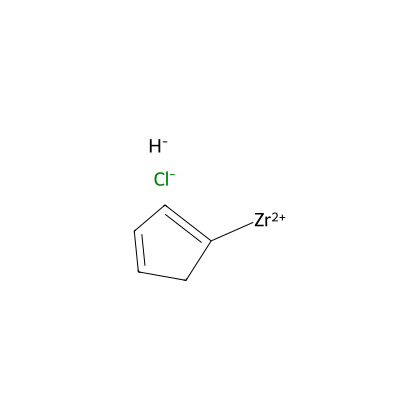 [Cl-].[H-].[Zr+2][C]1=CC=CC1